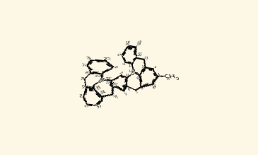 Cc1cc2c3c(c1)Cc1cc4c(cc1B3c1ccccc1C2)B1c2ccccc2Cc2cccc(c21)C4